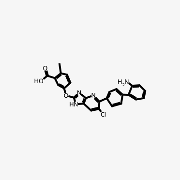 Cc1ccc(Oc2nc3nc(-c4ccc(-c5ccccc5N)cc4)c(Cl)cc3[nH]2)cc1C(=O)O